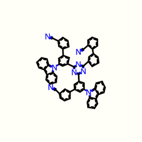 N#Cc1cccc(-c2cc(-c3nc(-c4cccc(-c5ccccc5C#N)c4)nc(-c4cc(-c5cccc(C#N)c5)cc(-n5c6ccccc6c6ccccc65)c4)n3)cc(-n3c4ccccc4c4ccccc43)c2)c1